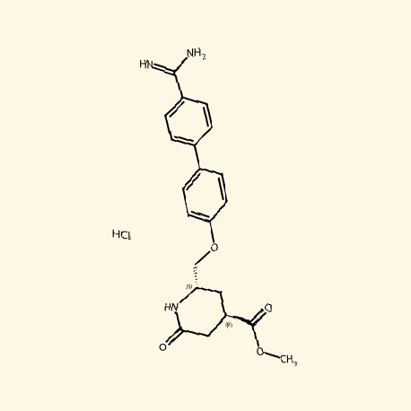 COC(=O)[C@H]1CC(=O)N[C@H](COc2ccc(-c3ccc(C(=N)N)cc3)cc2)C1.Cl